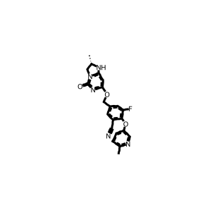 Cc1ccc(Oc2c(F)cc(COc3cc4n(c(=O)n3)C[C@H](C)N4)cc2C#N)cn1